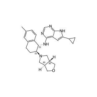 Cc1ccc2c(c1)CC[C@H](N1C[C@@H]3COC[C@H]3C1)[C@H]2Nc1ncnc2[nH]c(C3CC3)cc12